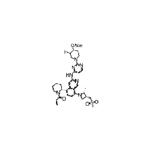 C=CC(=O)N1CCCC[C@@H]1c1ccc(N2C[C@H](CS(C)(=O)=O)[C@H]2C)c2cnc(Nc3ccnc(N4CC[C@H](OC)[C@H](F)C4)n3)cc12